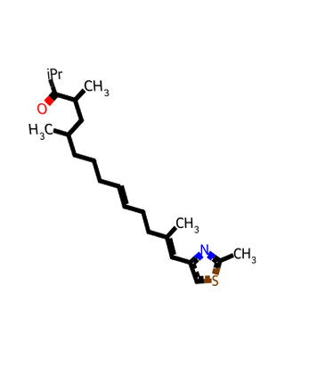 C/C(=C\c1csc(C)n1)CC/C=C/CCCC(C)CC(C)C(=O)C(C)C